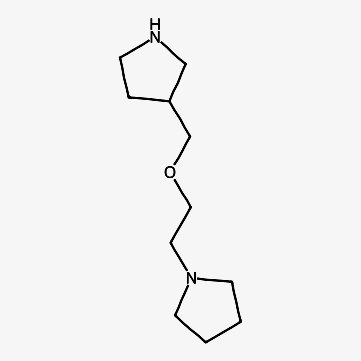 C1CCN(CCOCC2CCNC2)C1